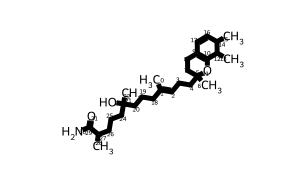 C/C(=C\CCC1(C)CCC2=C(O1)C(C)C(C)C=C2)CCCC(C)(O)CCCC(C)C(N)=O